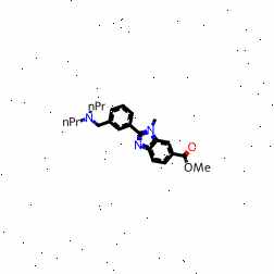 CCCN(CCC)Cc1cccc(-c2nc3ccc(C(=O)OC)cc3n2C)c1